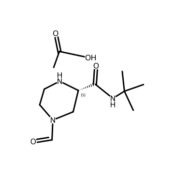 CC(=O)O.CC(C)(C)NC(=O)[C@@H]1CN(C=O)CCN1